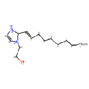 CCCCCCCCCCCCCCCC=CC1NC=CN1CCO